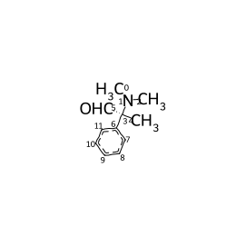 CN(C)[C@](C)(C=O)c1ccccc1